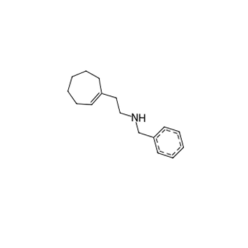 C1=C(CCNCc2ccccc2)CCCCC1